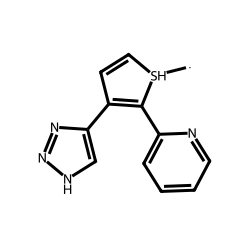 [CH2][SH]1C=CC(c2c[nH]nn2)=C1c1ccccn1